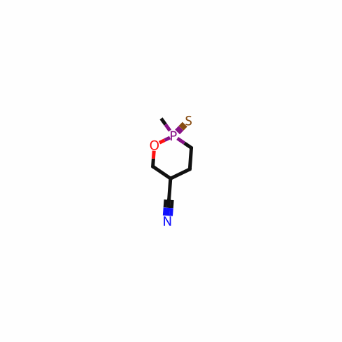 CP1(=S)CCC(C#N)CO1